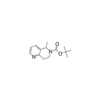 CC1c2cccnc2CCN1C(=O)OC(C)(C)C